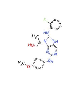 COc1ccc(Nc2ncc3c(n2)N([C@H](C)CO)C(Nc2ccccc2F)N3)cc1